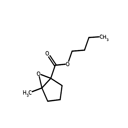 CCCCOC(=O)C12CCCC1(C)O2